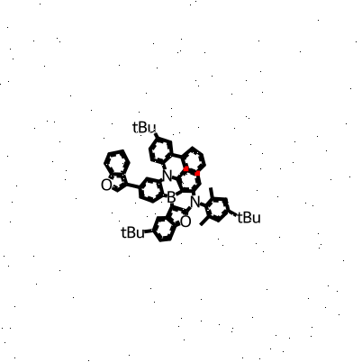 Cc1cc(C(C)(C)C)cc(C)c1N1c2cccc3c2B(c2ccc(-c4coc5ccccc45)cc2N3c2ccc(C(C)(C)C)cc2-c2ccccc2)c2c1oc1ccc(C(C)(C)C)cc21